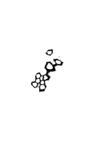 CC12CCCC1c1cc(-c3ccc4c(c3)C3(c5ccccc5-c5ccccc53)c3ccccc3-4)ccc1N2c1ccccc1